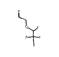 FCCOC(F)C(F)(F)F